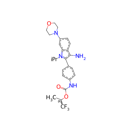 CC(C)n1c(-c2ccc(NC(=O)O[C@H](C)C(F)(F)F)cc2)c(N)c2ccc(N3CCOCC3)cc21